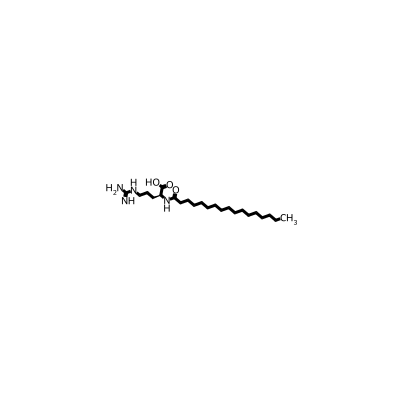 CCCCCCCCCCCCCCCCC(=O)N[C@@H](CCCNC(=N)N)C(=O)O